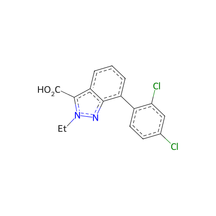 CCn1nc2c(-c3ccc(Cl)cc3Cl)cccc2c1C(=O)O